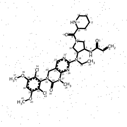 C=CC(=O)NC1CN(C(=O)C2CCCCN2)CC1N(CC)c1ncc2c(n1)N(C)C(=O)N(c1c(Cl)c(OC)cc(OC)c1Cl)C2